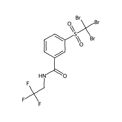 O=C(NCC(F)(F)F)c1cccc(S(=O)(=O)C(Br)(Br)Br)c1